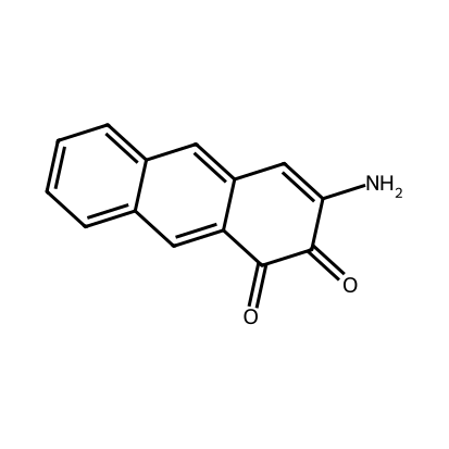 NC1=Cc2cc3ccccc3cc2C(=O)C1=O